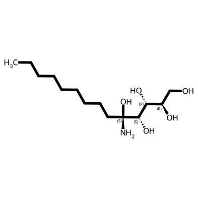 CCCCCCCCC[C@](N)(O)[C@@H](O)[C@H](O)[C@H](O)CO